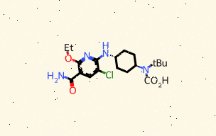 CCOc1nc(N[C@H]2CC[C@H](N(C(=O)O)C(C)(C)C)CC2)c(Cl)cc1C(N)=O